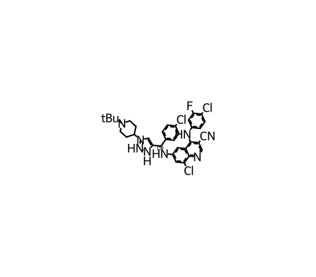 CC(C)(C)N1CCC(N2C=C([C@@H](Nc3cc(Cl)c4ncc(C#N)c(Nc5ccc(Cl)c(F)c5)c4c3)c3ccc(Cl)cc3)NN2)CC1